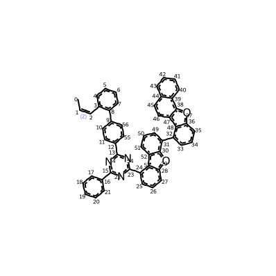 C/C=C\c1ccccc1-c1ccc(-c2nc(-c3ccccc3)nc(-c3cccc4oc5c(-c6cccc7oc8c9ccccc9ccc8c67)cccc5c34)n2)cc1